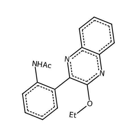 CCOc1nc2ccccc2nc1-c1ccccc1NC(C)=O